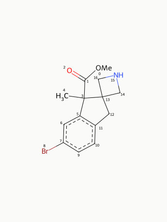 COC(=O)C1(C)c2cc(Br)ccc2CC12CNC2